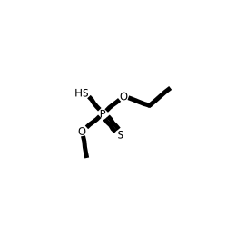 CCOP(=S)(S)OC